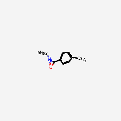 CCCCCCN1OC1c1ccc(C)cc1